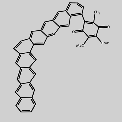 COC1=C(OC)C(=O)C(c2cccc3cc4cc5cc6ccc7cc8cc9cc%10ccccc%10cc9cc8cc7c6cc5cc4cc23)=C(C)C1=O